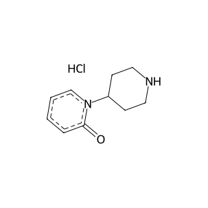 Cl.O=c1ccccn1C1CCNCC1